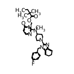 CCC(C)(C)C(=O)OCn1c(N(C)C2CCN(c3nc4c(n3Cc3ccc(F)cc3)=CCCC=4)CC2)nccc1=O